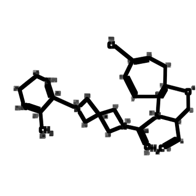 C=CC1COC2=C(C=CC(Cl)=CC2)N1C(=O)N1CC2(C1)CN(C1=NCCN=C1C)C2